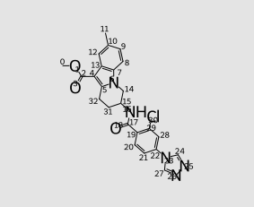 COC(=O)c1c2n(c3ccc(C)cc13)CC(NC(=O)c1ccc(-n3cnnc3)cc1Cl)CC2